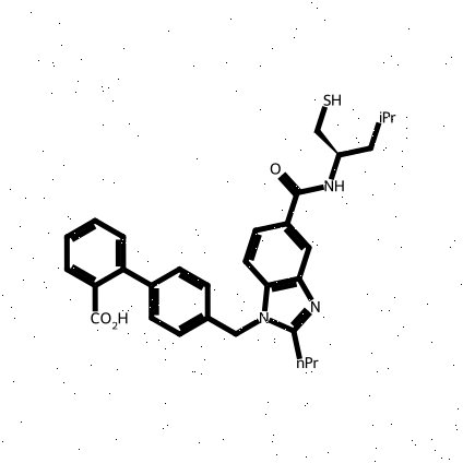 CCCc1nc2cc(C(=O)N[C@@H](CS)CC(C)C)ccc2n1Cc1ccc(-c2ccccc2C(=O)O)cc1